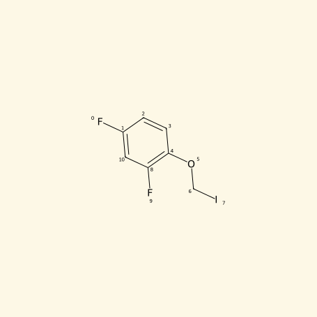 Fc1ccc(OCI)c(F)c1